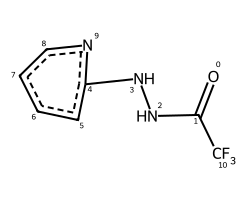 O=C(NNc1ccccn1)C(F)(F)F